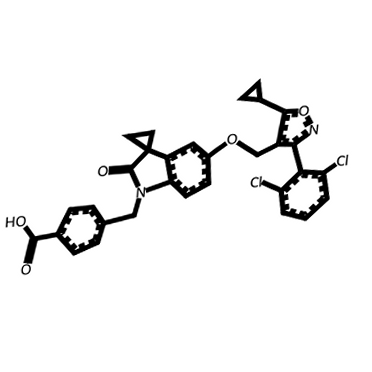 O=C(O)c1ccc(CN2C(=O)C3(CC3)c3cc(OCc4c(-c5c(Cl)cccc5Cl)noc4C4CC4)ccc32)cc1